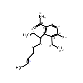 C/C=C/CCCC(CC)c1c(C(N)=O)ccc(F)c1CC